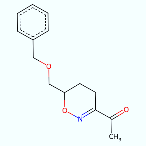 CC(=O)C1=NOC(COCc2ccccc2)CC1